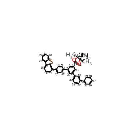 CC1(C)OB(c2cc(-c3ccc(-c4cccc5c4sc4ccccc45)cc3)cc(-c3cccc(-c4ccccc4)c3)c2)OC1(C)C